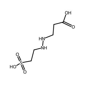 O=C(O)CCNNCCS(=O)(=O)O